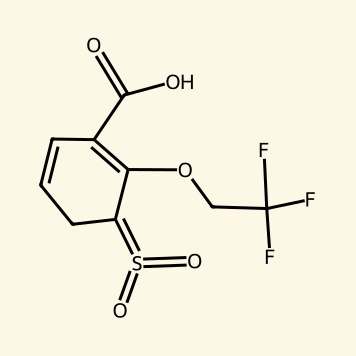 O=C(O)C1=C(OCC(F)(F)F)C(=S(=O)=O)CC=C1